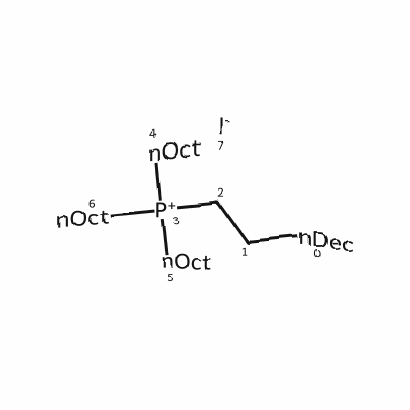 CCCCCCCCCCCC[P+](CCCCCCCC)(CCCCCCCC)CCCCCCCC.[I-]